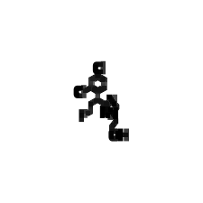 OCCn1cnc(C(CCF)c2ccc(Cl)cc2Cl)n1